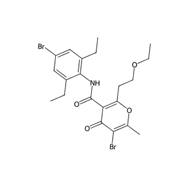 CCOCCc1oc(C)c(Br)c(=O)c1C(=O)Nc1c(CC)cc(Br)cc1CC